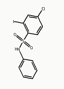 O=S(=O)(Nc1ccccc1)c1ccc(Cl)cc1I